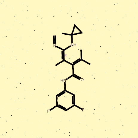 C=N/C(NC1(C)CC1)=C(\C)C(C(=O)Nc1cc(F)cc(F)c1)=C(C)C